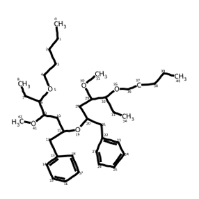 CCCCCOC(CC)C(CC(Cc1ccccc1)OC(Cc1ccccc1)CC(OC)C(CC)OCCCCC)OC